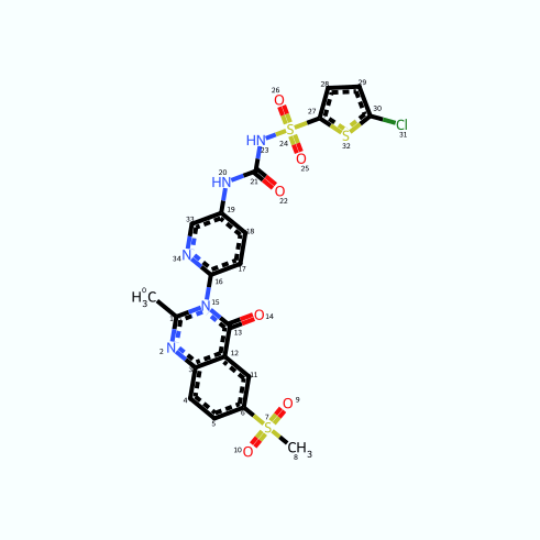 Cc1nc2ccc(S(C)(=O)=O)cc2c(=O)n1-c1ccc(NC(=O)NS(=O)(=O)c2ccc(Cl)s2)cn1